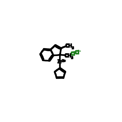 CC1=Cc2ccccc2[C]1(C)[Zr+2][C]1=CC=CC1.[Cl-].[Cl-]